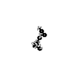 CC1(C)SC(c2cccnc2)N(C(=O)c2csc(C3CCN(C(=O)c4ccccc4-c4ccc(C(F)(F)F)cc4)CC3)n2)[C@@H]1C(=O)O